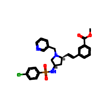 COC(=O)c1cccc(C=C[C@@H]2C[C@@H](NS(=O)(=O)c3ccc(Cl)cc3)CN2Cc2cccnc2)c1